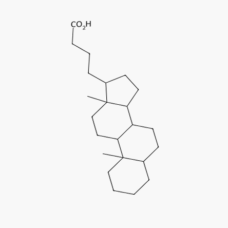 CC12CCCCC1CCC1C2CCC2(C)C(CCCC(=O)O)CCC12